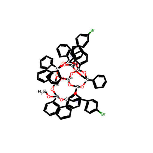 [SiH3]O[Si]1(c2ccccc2)O[Si](/C=C/c2ccc(Br)cc2)(c2ccccc2)O[Si]2(c3ccccc3)O[Si]3(c4ccccc4)O[SiH](c4ccccc4)O[Si]4(c5ccccc5)O[Si](/C=C/c5ccc(Br)cc5)(c5ccccc5)O[Si](c5ccccc5)(O3)O[Si@](c3ccccc3)(O2)O[Si@](c2ccccc2)(O1)O4